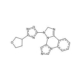 c1ccc2c(c1)C1=NCN(c3nc(C4CCOC4)no3)N1c1cncn1-2